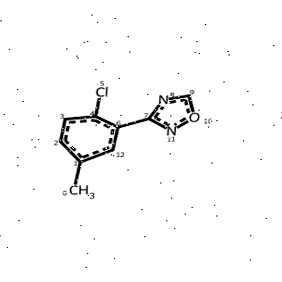 Cc1ccc(Cl)c(-c2ncon2)c1